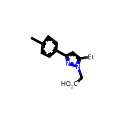 CCc1cc(-c2ccc(C)cc2)nn1CC(=O)O